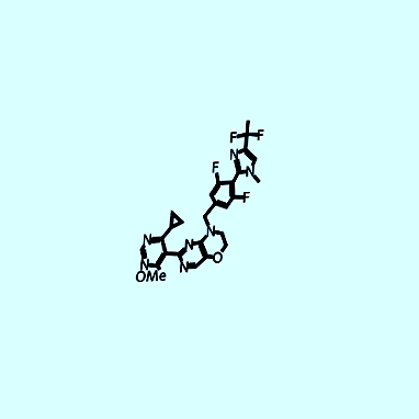 COc1ncnc(C2CC2)c1-c1ncc2c(n1)N(Cc1cc(F)c(-c3nc(C(C)(F)F)cn3C)c(F)c1)CCO2